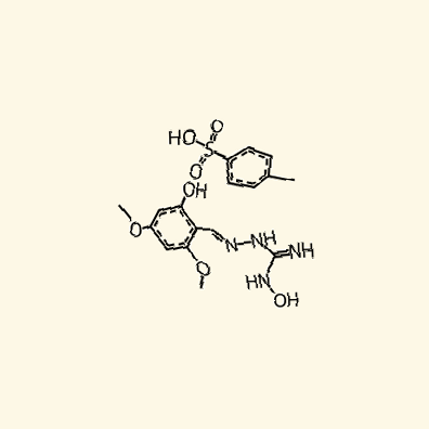 COc1cc(O)c(C=NNC(=N)NO)c(OC)c1.Cc1ccc(S(=O)(=O)O)cc1